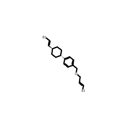 CCC=CCOCc1ccc([C@H]2CC[C@H](C=CCC)CC2)cc1